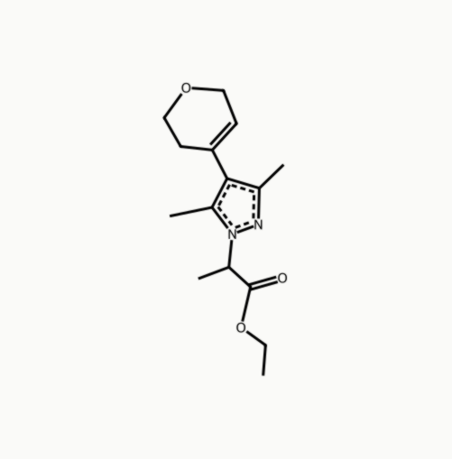 CCOC(=O)C(C)n1nc(C)c(C2=CCOCC2)c1C